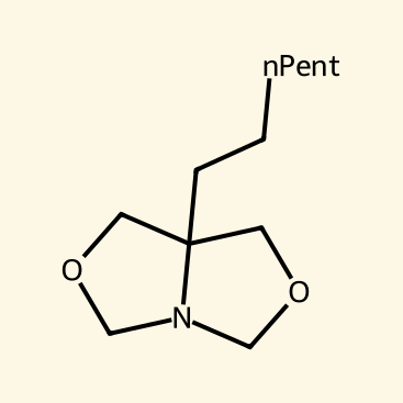 CCCCCCCC12COCN1COC2